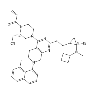 C=CC(=O)N1CCN(c2nc(OCC3C[C@@]3(CC)N(C)C3CCC3)nc3c2CCN(c2cccc4cccc(C)c24)C3)C[C@@H]1CC#N